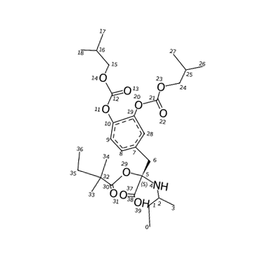 CCC(C)N[C@@](Cc1ccc(OC(=O)OCC(C)C)c(OC(=O)OCC(C)C)c1)(OC(=O)C(C)(C)CC)C(=O)O